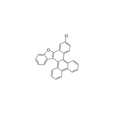 Clc1ccc2c(c1)c1oc3ccccc3c1c1c3ccccc3c3ccccc3c21